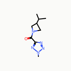 CC(C)C1CN(C(=O)c2nnn(C)n2)C1